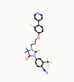 CC1(C)C(=O)N(c2ccc(C#N)c(C(F)(F)F)c2)C(=S)N1CCCOc1ccc(-c2ccncc2)c(F)c1